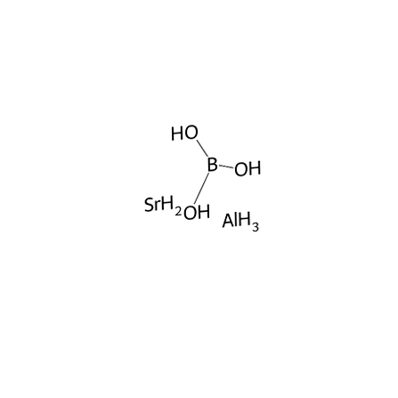 OB(O)O.[AlH3].[SrH2]